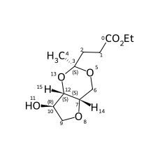 CCOC(=O)CC[C@@]1(C)OC[C@@H]2OC[C@@H](O)[C@@H]2O1